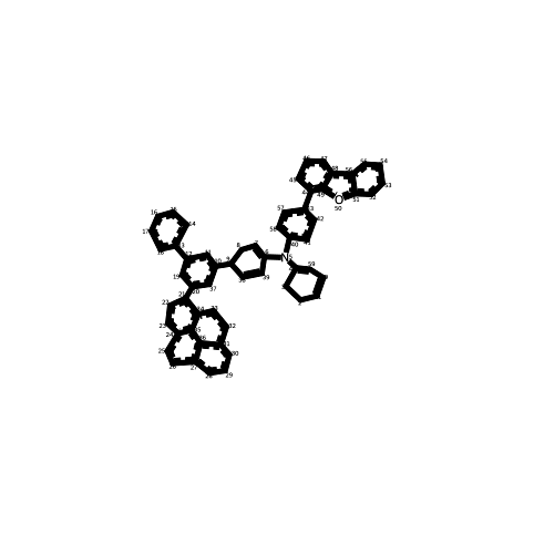 C1=CCCC(N(C2=CCC(c3cc(-c4ccccc4)cc(-c4ccc5ccc6cccc7ccc4c5c67)c3)C=C2)c2ccc(-c3cccc4c3oc3ccccc34)cc2)=C1